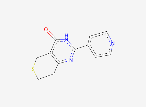 O=c1[nH]c(-c2ccncc2)nc2c1CSCC2